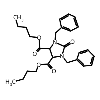 CCCCOC(=O)C1C(C(=O)OCCCC)N(Cc2ccccc2)C(=O)N1Cc1ccccc1